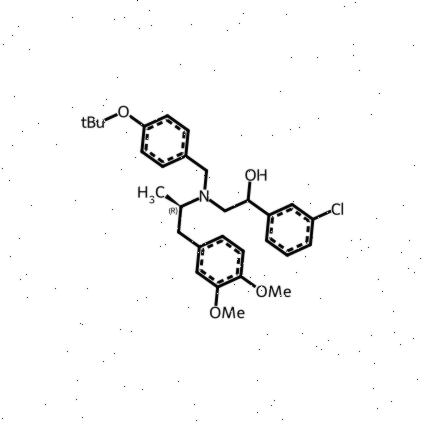 COc1ccc(C[C@@H](C)N(Cc2ccc(OC(C)(C)C)cc2)CC(O)c2cccc(Cl)c2)cc1OC